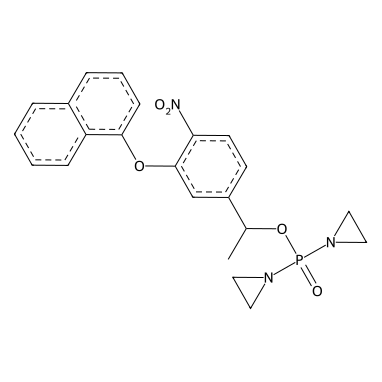 CC(OP(=O)(N1CC1)N1CC1)c1ccc([N+](=O)[O-])c(Oc2cccc3ccccc23)c1